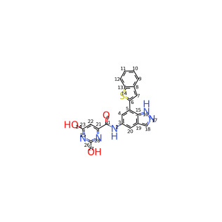 O=C(Nc1cc(-c2cc3ccccc3s2)c2[nH]ncc2c1)c1cc(O)nc(O)n1